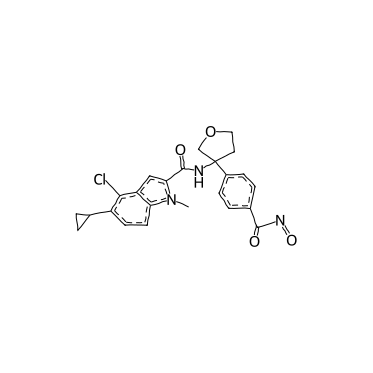 Cn1c(C(=O)NC2(c3ccc(C(=O)N=O)cc3)CCOC2)cc2c(Cl)c(C3CC3)ccc21